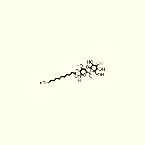 CCCCCCCCCCCCCCCCCCCC(=O)O[C@H]1[C@@H](O)[C@H](O[C@@H]2O[C@H](CO)[C@@H](O)[C@H](O)[C@@H]2O)[C@@H](CO)O[C@@H]1O